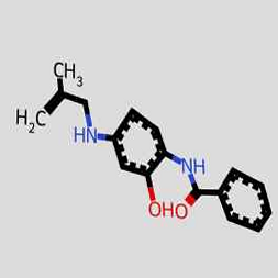 C=C(C)CNc1ccc(NC(=O)c2ccccc2)c(O)c1